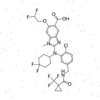 Cn1c(N(c2cc(CNC(=O)C3(C(F)(F)F)CC3)ccc2Cl)C2CCC(F)(F)CC2)nc2cc(C(=O)O)c(OCC(F)F)cc21